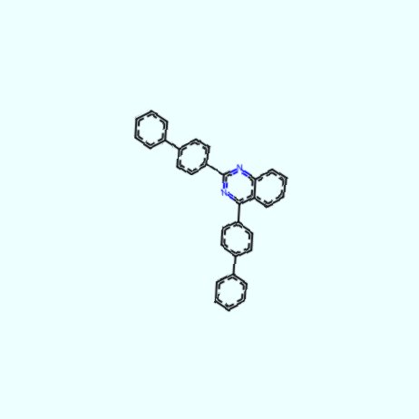 c1ccc(-c2ccc(-c3nc(-c4ccc(-c5ccccc5)cc4)c4ccccc4n3)cc2)cc1